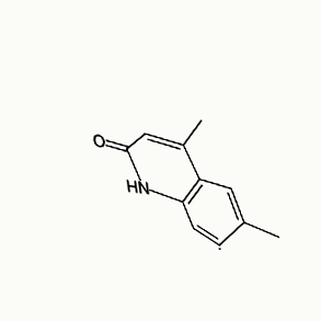 Cc1[c]cc2[nH]c(=O)cc(C)c2c1